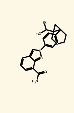 CCC(O)C12CNCCC1(c1ccc(-n3cc4cccc(C(N)=O)c4n3)cc1)C2